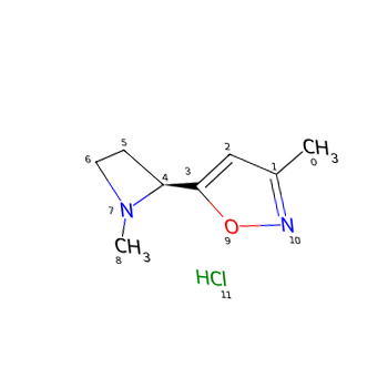 Cc1cc([C@@H]2CCN2C)on1.Cl